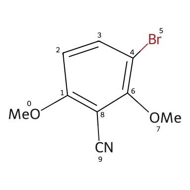 COc1ccc(Br)c(OC)c1C#N